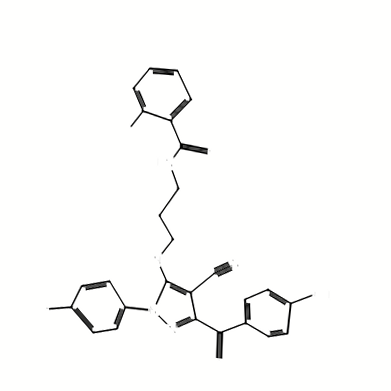 Cc1ccc(C(=O)c2nn(-c3ccc(Cl)cc3)c(NCCCNC(=O)c3ccccc3F)c2C#N)cc1